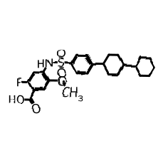 COc1cc(C(=O)O)c(F)cc1NS(=O)(=O)c1ccc(C2CCC(C3CCCCC3)CC2)cc1